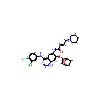 O=C(/C=C/CN1CCCCC1)NC1=CC2=C(Nc3ccc(F)c(Cl)c3)N=CNC2C=C1OC1CC2CCC1O2